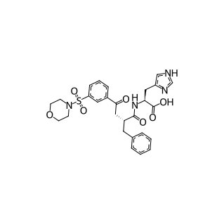 O=C(C[C@@H](Cc1ccccc1)C(=O)N[C@@H](Cc1c[nH]cn1)C(=O)O)c1cccc(S(=O)(=O)N2CCOCC2)c1